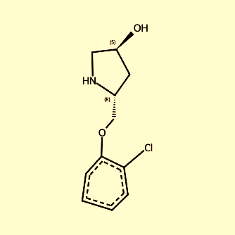 O[C@@H]1CN[C@@H](COc2ccccc2Cl)C1